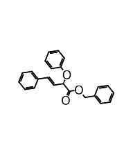 O=C(OCc1ccccc1)[C@@H](C=Cc1ccccc1)Oc1ccccc1